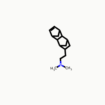 CN(C)CCC1CC2CC1C1C3C=CC(C3)C21